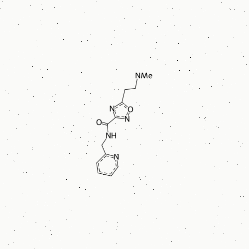 CNCCc1nc(C(=O)NCc2ccccn2)no1